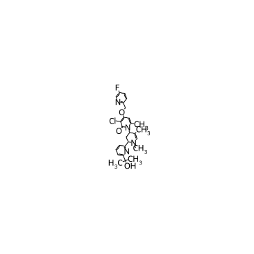 CC1=CN(C)C(c2cccc(C(C)(C)O)n2)C[C@H]1n1c(C)cc(OCc2ccc(F)cn2)c(Cl)c1=O